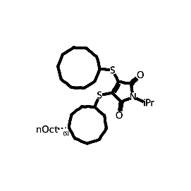 CCCCCCCC[C@H]1CCCCCC(SC2=C(SC3CCCCCCCCC3)C(=O)N(C(C)C)C2=O)CC1